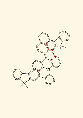 CC1(C)c2ccccc2-c2ccc(-c3ccccc3N(c3cccc(-c4cccc5c4C(C)(C)c4ccccc4-5)c3)c3ccccc3-c3cccc4c3ccc3ccccc34)cc21